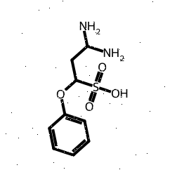 NC(N)CC(Oc1ccccc1)S(=O)(=O)O